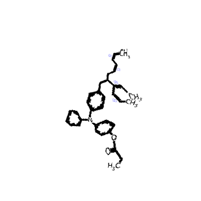 C/C=C\C=C/CC(Cc1ccc(N(c2ccccc2)c2ccc(OC(=O)CC)cc2)cc1)C(/C=C\C)=C/C